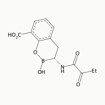 CCC(=O)C(=O)N[C@H]1Cc2cccc(C(=O)O)c2OB1O